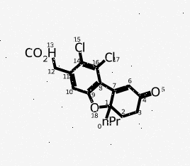 CCCC12CCC(=O)C=C1c1c(cc(CC(=O)O)c(Cl)c1Cl)O2